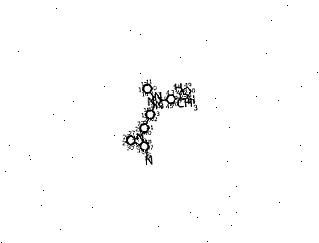 CC1(c2ccc(-c3nc(-c4ccccc4)nc(-c4ccc(-c5ccc(-n6c7ccccc7c7cc(C#N)ccc76)cc5)cc4)n3)cc2)C[C@@H]2CC[C@@H](C2)C1